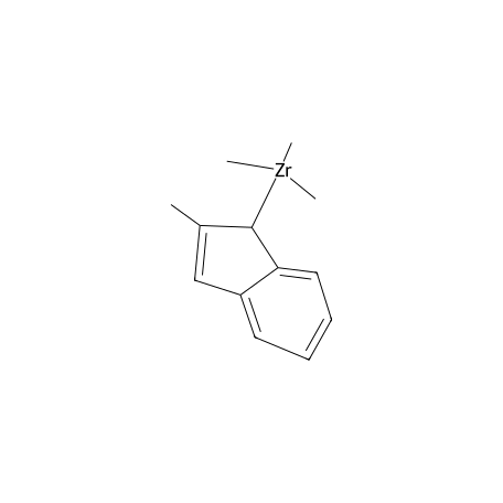 CC1=Cc2ccccc2[CH]1[Zr]([CH3])([CH3])[CH3]